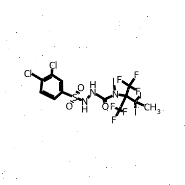 CC(I)(I)C(N(I)C(=O)NNS(=O)(=O)c1ccc(Cl)c(Cl)c1)(C(F)(F)F)C(F)(F)F